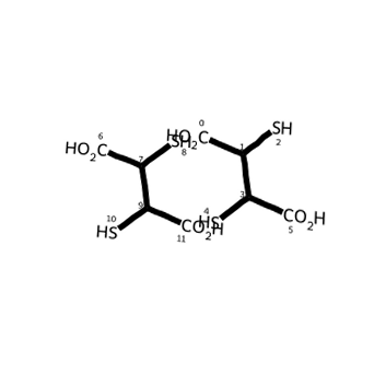 O=C(O)C(S)C(S)C(=O)O.O=C(O)C(S)C(S)C(=O)O